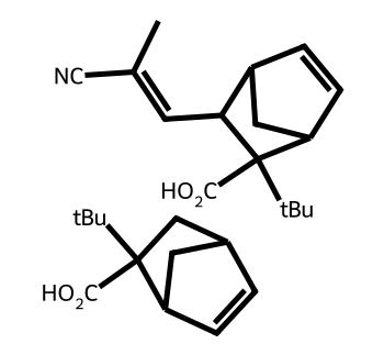 CC(C#N)=CC1C2C=CC(C2)C1(C(=O)O)C(C)(C)C.CC(C)(C)C1(C(=O)O)CC2C=CC1C2